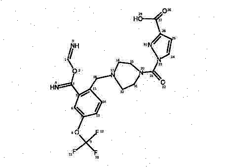 N=COC(=N)c1cc(OC(F)(F)F)ccc1CN1CCN(C(=O)n2ccc(C(=O)O)n2)CC1